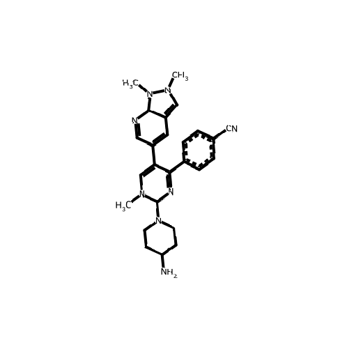 CN1C=C(C2=CC3=CN(C)N(C)C3N=C2)C(c2ccc(C#N)cc2)=NC1N1CCC(N)CC1